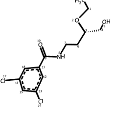 CCO[C@H](CO)CCNC(=O)c1cc(Cl)cc(Cl)c1